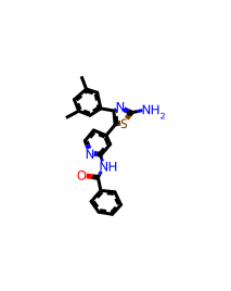 Cc1cc(C)cc(-c2nc(N)sc2-c2ccnc(NC(=O)c3ccccc3)c2)c1